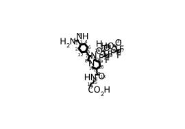 N=C(N)c1ccc(-c2cn3cc(C(=O)NCCC(=O)O)ccc3n2)cc1.O=C(O)C(F)(F)F.O=C(O)C(F)(F)F